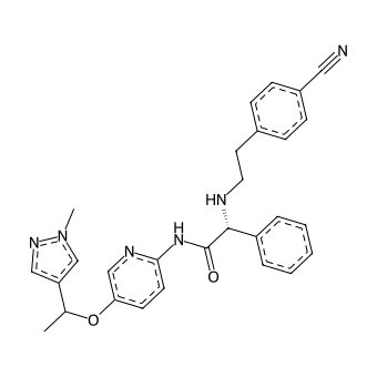 CC(Oc1ccc(NC(=O)[C@H](NCCc2ccc(C#N)cc2)c2ccccc2)nc1)c1cnn(C)c1